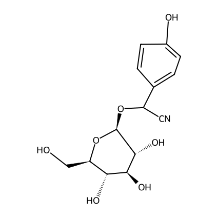 N#CC(O[C@@H]1O[C@H](CO)[C@@H](O)[C@H](O)[C@H]1O)c1ccc(O)cc1